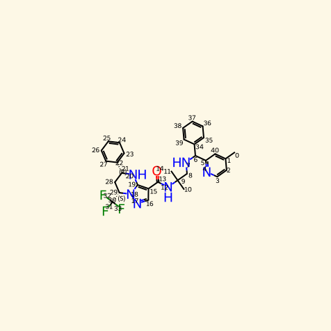 Cc1ccnc(C(NCC(C)(C)NC(=O)c2cnn3c2N[C@@H](c2ccccc2)C[C@H]3C(F)(F)F)c2ccccc2)c1